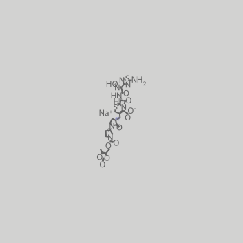 Cc1oc(=O)oc1COC(=O)N1CC[C@@H](N2CC/C(=C\C3=C(C(=O)[O-])N4C(=O)[C@@H](NC(=O)C(=NO)c5nsc(N)n5)[C@H]4SC3)C2=O)C1.[Na+]